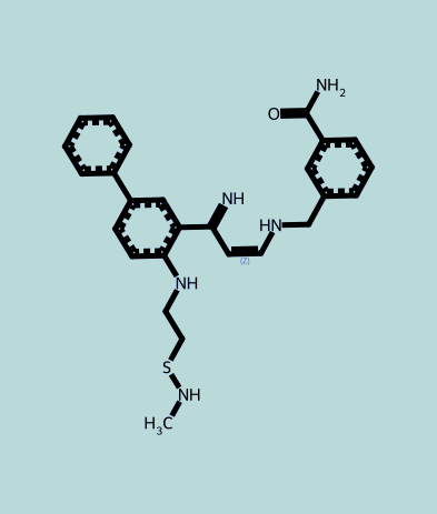 CNSCCNc1ccc(-c2ccccc2)cc1C(=N)/C=C\NCc1cccc(C(N)=O)c1